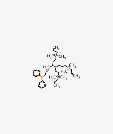 C=CC[Si](C)(C)CCCC(CC[Si](C)(C)CC=C)C(CC[Si](C)(C)CC=C)[SiH2]CCCP(c1ccccc1)c1ccccc1